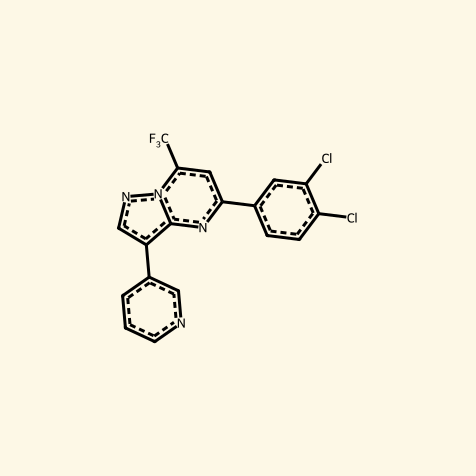 FC(F)(F)c1cc(-c2ccc(Cl)c(Cl)c2)nc2c(-c3cccnc3)cnn12